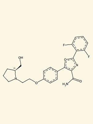 NC(=O)c1nc(-c2c(F)cccc2F)oc1-c1ccc(OCCN2CCC[C@H]2CO)cc1